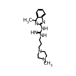 Cc1nc(NC(=N)NCCCN2CCN(C)CC2)nc2ccccc12